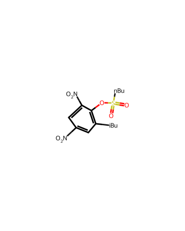 CCCCS(=O)(=O)Oc1c(C(C)CC)cc([N+](=O)[O-])cc1[N+](=O)[O-]